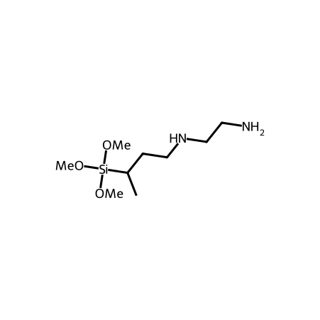 CO[Si](OC)(OC)C(C)CCNCCN